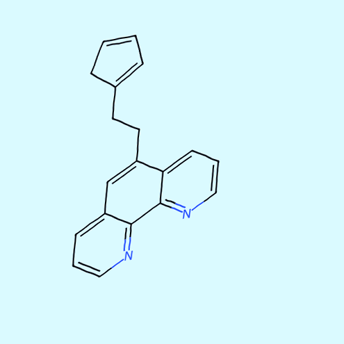 C1=CCC(CCc2cc3cccnc3c3ncccc23)=C1